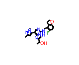 Cc1cc(-c2cnc(NCc3c(F)ccc4c3CCO4)n3cc(C(C)O)nc23)n(C)n1